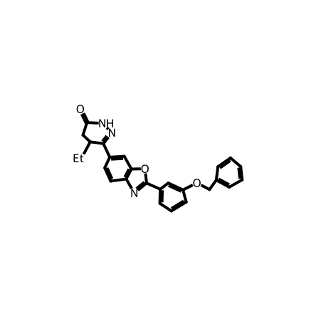 CCC1CC(=O)NN=C1c1ccc2nc(-c3cccc(OCc4ccccc4)c3)oc2c1